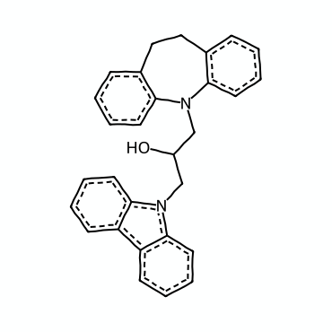 OC(CN1c2ccccc2CCc2ccccc21)Cn1c2ccccc2c2ccccc21